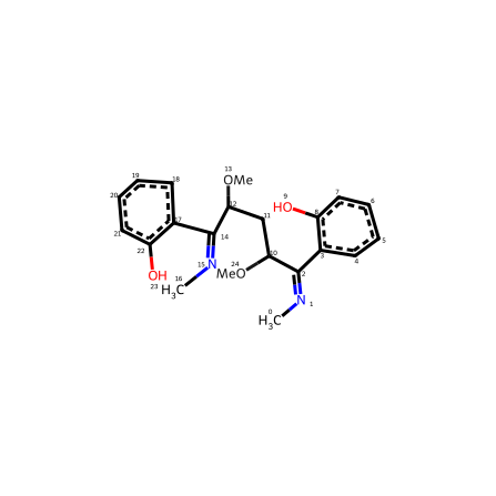 CN=C(c1ccccc1O)C(CC(OC)C(=NC)c1ccccc1O)OC